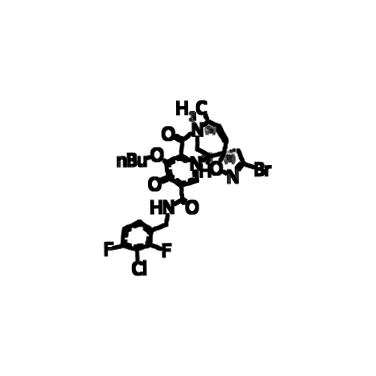 CCCCOc1c2n(cc(C(=O)NCc3ccc(F)c(Cl)c3F)c1=O)[C@@H]1CN(C2=O)[C@@H](C)C=C[C@]12CC(Br)=NO2